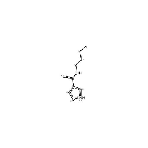 CCCCNC(=O)c1cn[nH]c1